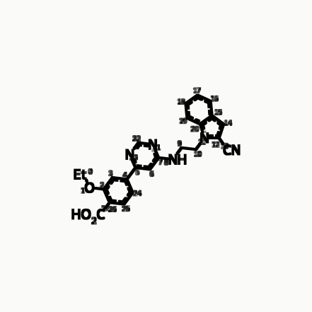 CCOc1cc(-c2cc(NCCn3c(C#N)cc4ccccc43)ncn2)ccc1C(=O)O